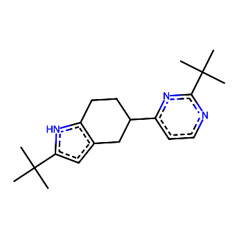 CC(C)(C)c1nccc(C2CCc3[nH]c(C(C)(C)C)cc3C2)n1